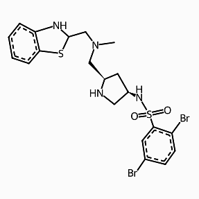 CN(CC1Nc2ccccc2S1)C[C@H]1C[C@@H](NS(=O)(=O)c2cc(Br)ccc2Br)CN1